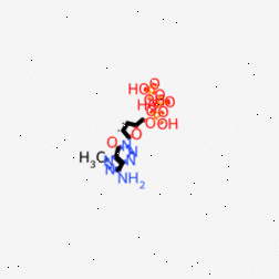 Cn1nc(N)c2nnn(C3[CH][CH]C(COP(=O)(O)OP(=O)(O)OP(=O)(O)O)O3)c(=O)c21